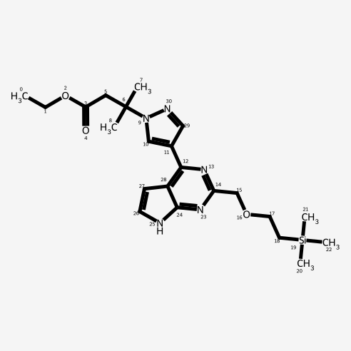 CCOC(=O)CC(C)(C)n1cc(-c2nc(COCC[Si](C)(C)C)nc3[nH]ccc23)cn1